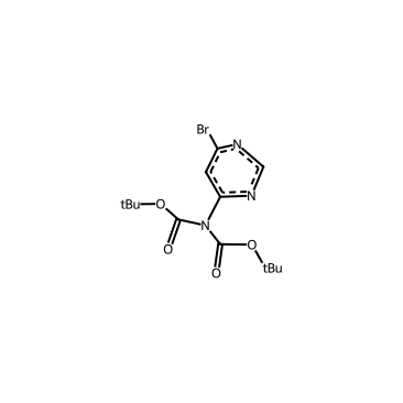 CC(C)(C)OC(=O)N(C(=O)OC(C)(C)C)c1cc(Br)ncn1